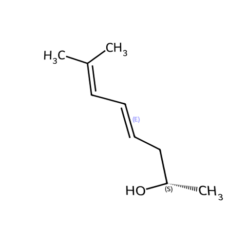 CC(C)=C/C=C/C[C@H](C)O